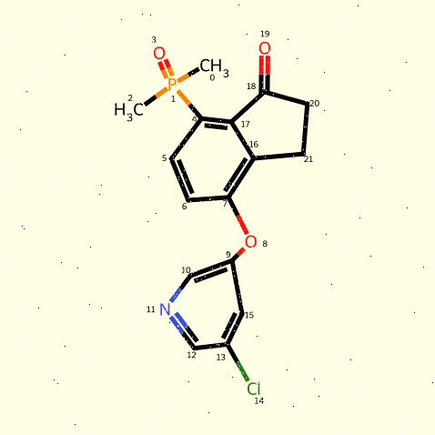 CP(C)(=O)c1ccc(Oc2cncc(Cl)c2)c2c1C(=O)CC2